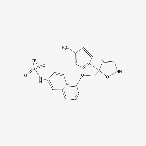 O=S(=O)(Nc1ccc2c(OCC3(c4ccc(C(F)(F)F)cc4)N=CNO3)cccc2c1)C(F)(F)F